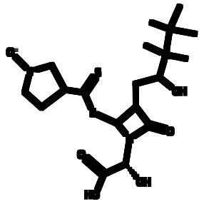 CC(C)(C)[Si](C)(C)C(O)CC1C(=O)N([C@H](O)C(=O)O)C1SC(=S)C1CC[S+]([O-])C1